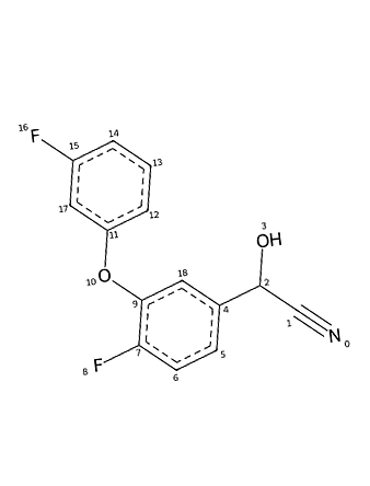 N#CC(O)c1ccc(F)c(Oc2cccc(F)c2)c1